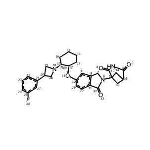 O=C1NC(=O)C2(N3Cc4cc(O[C@@H]5CCCC[C@@H]5N5CC(c6cccc(F)c6)C5)ccc4C3=O)CC1C2